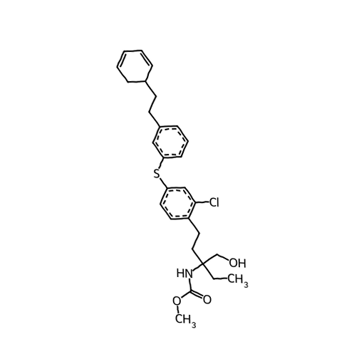 CCC(CO)(CCc1ccc(Sc2cccc(CCC3C=CC=CC3)c2)cc1Cl)NC(=O)OC